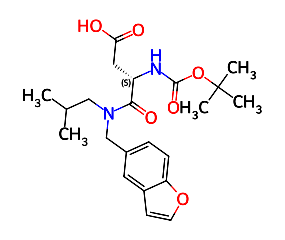 CC(C)CN(Cc1ccc2occc2c1)C(=O)[C@H](CC(=O)O)NC(=O)OC(C)(C)C